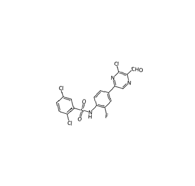 O=Cc1ncc(-c2ccc(NS(=O)(=O)c3cc(Cl)ccc3Cl)c(F)c2)nc1Cl